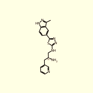 Cc1n[nH]c2ccc(-c3nnc(NC[C@@H](N)Cc4cccnc4)s3)cc12